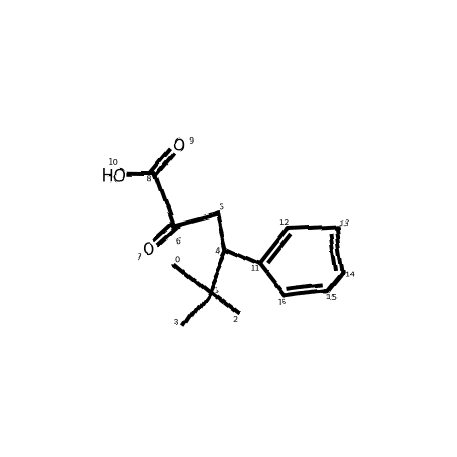 CC(C)(C)C(CC(=O)C(=O)O)c1ccccc1